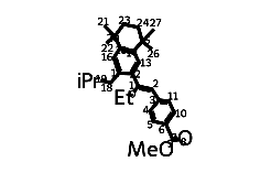 CCC(=Cc1ccc(C(=O)OC)cc1)c1cc2c(cc1CC(C)C)C(C)(C)CCC2(C)C